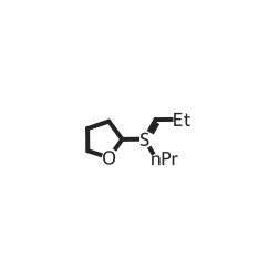 CCC=S(CCC)C1CCCO1